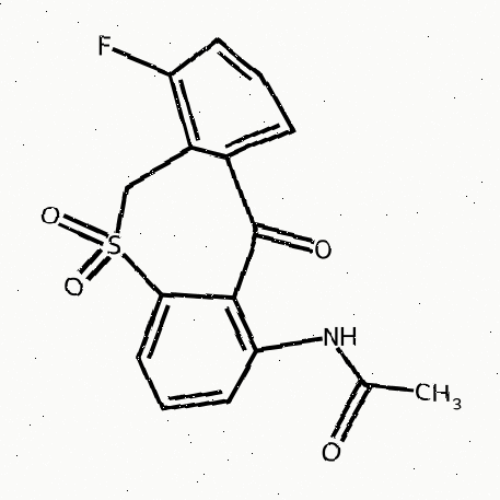 CC(=O)Nc1cccc2c1C(=O)c1cccc(F)c1CS2(=O)=O